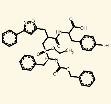 CCOP(=O)(CC(Cc1cc(-c2ccccc2)no1)C(=O)NC(Cc1ccc(O)cc1)C(=O)O)[C@H](Cc1ccccc1)NC(=O)OCc1ccccc1